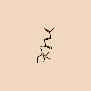 CCN(OC(=O)C=CC(C)=S)[Si](C)(C)C